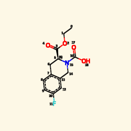 CCOC(=O)[C@@H]1Cc2ccc(F)cc2CN1C(=O)O